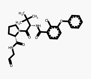 CC(C)(C)[C@H](NC(=O)c1cccc(Oc2ccccc2)c1Cl)C(=O)N1CCC[C@H]1C(=O)NCC=O